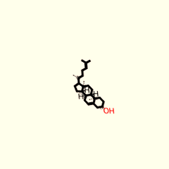 CC(C)=CCC[C@@H](C)C1CC[C@H]2[C@@H]3CC=C4C[C@@H](O)CC[C@]4(C)[C@H]3CC[C@]12C